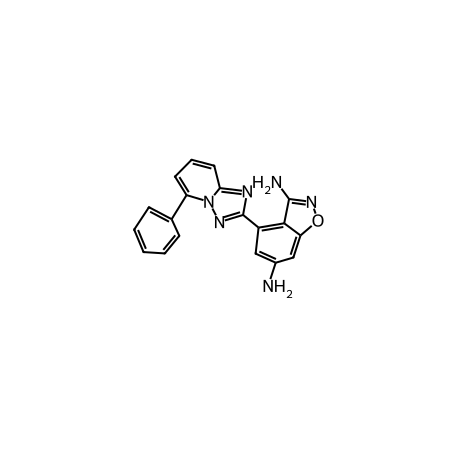 Nc1cc(-c2nc3cccc(-c4ccccc4)n3n2)c2c(N)noc2c1